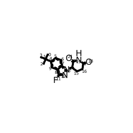 CC(C)(C)c1ccc2c(c1)c(F)nn2C1CCC(=O)NC1=O